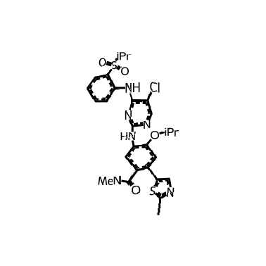 CNC(=O)c1cc(Nc2ncc(Cl)c(Nc3ccccc3S(=O)(=O)C(C)C)n2)c(OC(C)C)cc1-c1cnc(C)s1